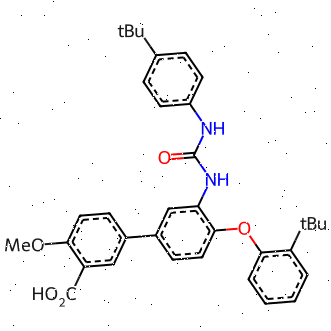 COc1ccc(-c2ccc(Oc3ccccc3C(C)(C)C)c(NC(=O)Nc3ccc(C(C)(C)C)cc3)c2)cc1C(=O)O